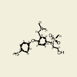 CSc1ccc(Oc2ccc(N(CCO)S(C)(=O)=O)cc2CN(C)C)cc1